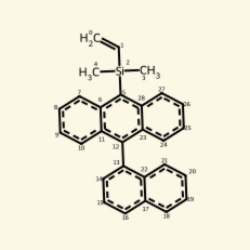 C=C[Si](C)(C)c1c2ccccc2c(-c2cccc3ccccc23)c2ccccc12